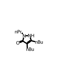 CCCCc1[nH]n(CCC)c(=O)c1CCCC